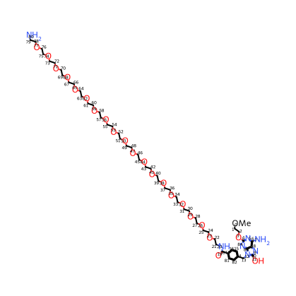 COCCOc1nc(N)c2nc(O)n(Cc3ccc(C(=O)NCCOCCOCCOCCOCCOCCOCCOCCOCCOCCOCCOCCOCCOCCOCCOCCOCCOCCOCCOCCN)cc3)c2n1